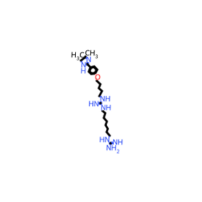 CC1(C)CNC(c2ccc(OCCCCCNC(=N)NCCCCCCCCNC(=N)N)cc2)=N1